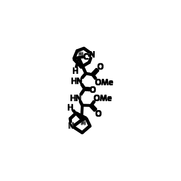 COC(=O)C(NC(=O)NC(C(=O)OC)[C@H]1CN2CCC1CC2)[C@H]1CN2CCC1CC2